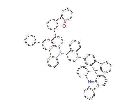 c1ccc(-c2cccc(-c3ccccc3N(c3ccc(-c4cccc5c4oc4ccccc45)cc3)c3ccc(-c4ccc5c(c4)C4(c6ccccc6-5)c5ccccc5-n5c6ccccc6c6cccc4c65)c4ccccc34)c2)cc1